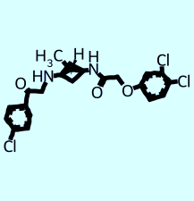 C[C@H]1C2(NCC(=O)c3ccc(Cl)cc3)CC1(NC(=O)COc1ccc(Cl)c(Cl)c1)C2